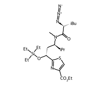 CCOC(=O)c1csc([C@@H](C[C@H](C(C)C)N(C)C(=O)[C@@H](N=[N+]=[N-])[C@@H](C)CC)O[Si](CC)(CC)CC)n1